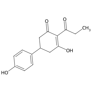 CCC(=O)C1=C(O)CC(c2ccc(O)cc2)CC1=O